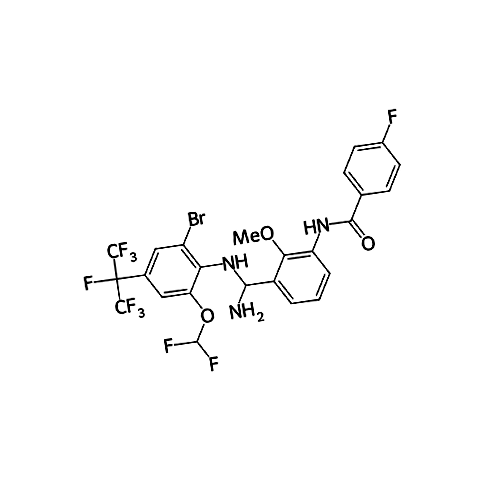 COc1c(NC(=O)c2ccc(F)cc2)cccc1C(N)Nc1c(Br)cc(C(F)(C(F)(F)F)C(F)(F)F)cc1OC(F)F